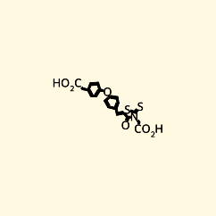 O=C(O)Cc1ccc(Oc2ccc(/C=C3\SC(=S)N(CC(=O)O)C3=O)cc2)cc1